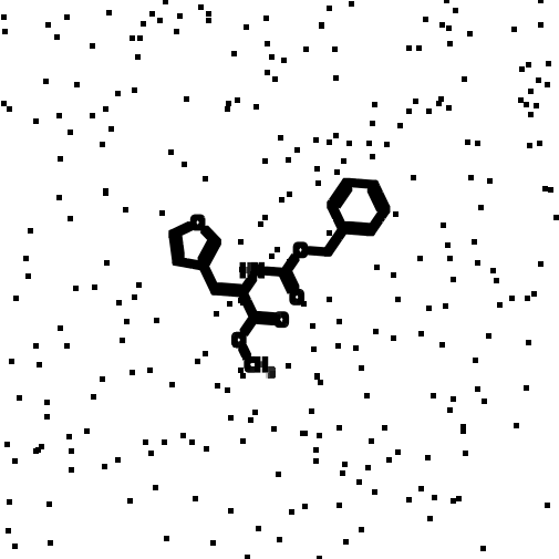 COC(=O)/C(=C/c1ccoc1)NC(=O)OCc1ccccc1